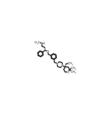 CC[C@]1(N2CCN(Cc3cccc(CO[C@H](CCNC)c4ccccc4)c3)CC2)CCOC(C)(C)C1